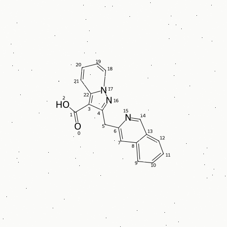 O=C(O)c1c(Cc2cc3ccccc3cn2)nn2ccccc12